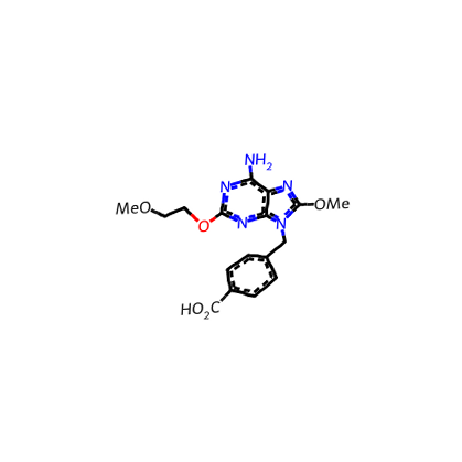 COCCOc1nc(N)c2nc(OC)n(Cc3ccc(C(=O)O)cc3)c2n1